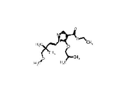 CCOC(=O)c1cnn(/C=C/C(C)(C)COC)c1OCC(C)C